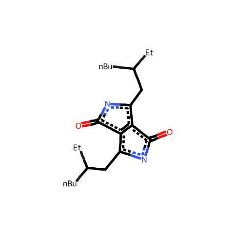 CCCCC(CC)Cc1nc(=O)c2c(CC(CC)CCCC)nc(=O)c1=2